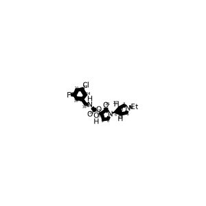 CCN1C[C@@H]2[C@H](C1)[C@H]2N1CCC(O)(OC(=O)NCc2cc(F)cc(Cl)c2)C1=O